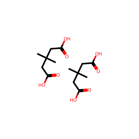 CC(C)(CC(=O)O)CC(=O)O.CC(C)(CC(=O)O)CC(=O)O